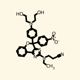 CCN(CCC#N)c1nc2c(s1)C(c1ccc(N(CCO)CCO)cc1)(c1ccc([N+](=O)[O-])cc1)Oc1ccccc1-2